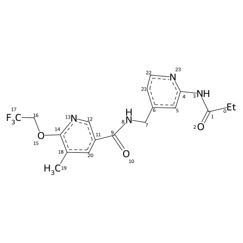 CCC(=O)Nc1cc(CNC(=O)c2cnc(OCC(F)(F)F)c(C)c2)ccn1